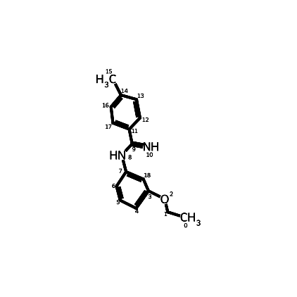 CCOc1cccc(NC(=N)c2ccc(C)cc2)c1